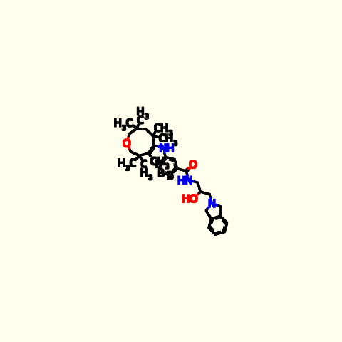 C/C1=C(\Nc2bbbc(C(=O)NCC(O)CN3Cc4ccccc4C3)c2)C(C)(C)CC(C)(C)COCC1(C)C